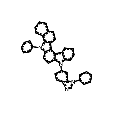 c1ccc(-n2cnc3ccc(-n4c5ccccc5c5c6c7ccc8ccccc8c7n(-c7ccccc7)c6ccc54)cc32)cc1